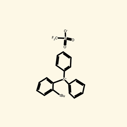 CC(C)(C)c1ccccc1[S+](c1ccccc1)c1ccccc1.O=S(=O)([O-])C(F)(F)F